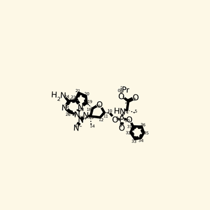 CC(C)OC(=O)[C@H](C)NP(=O)(OC[C@@H]1C[C@@](C)(N=[N+]=[N-])[C@H](c2ccc3c(N)ncnn23)O1)Oc1ccccc1